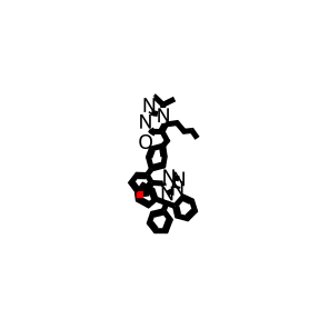 CCCCc1c(Cc2ccc(-c3ccccc3-c3nnnn3C(c3ccccc3)(c3ccccc3)c3ccccc3)cc2)c(=O)nc2n1C(C)C=N2